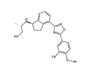 [C-]#[N+]c1cc(-c2nc(-c3cccc4c3CC[C@H]4N[C@@H](C)CO)no2)ccc1OC(C)C